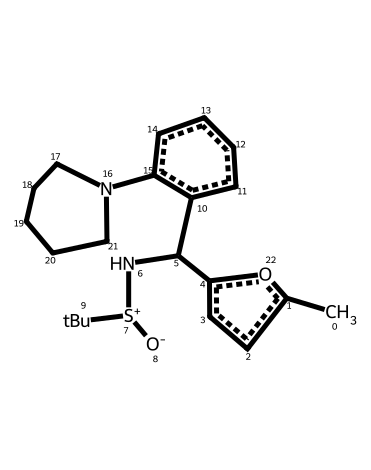 Cc1ccc(C(N[S+]([O-])C(C)(C)C)c2ccccc2N2CCCCC2)o1